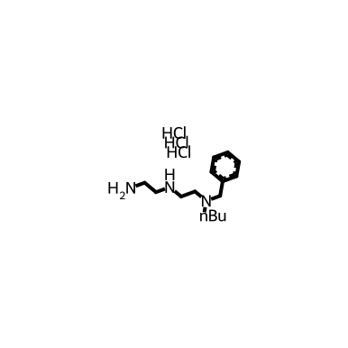 CCCCN(CCNCCN)Cc1ccccc1.Cl.Cl.Cl